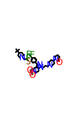 CC(C)(C)C1CCN(CCSc2cc(-c3nn(CCCN4CCC(N5CCCC5=O)CC4)c4c3CN(S(C)(=O)=O)CC4)ccc2C(F)(F)F)CC1